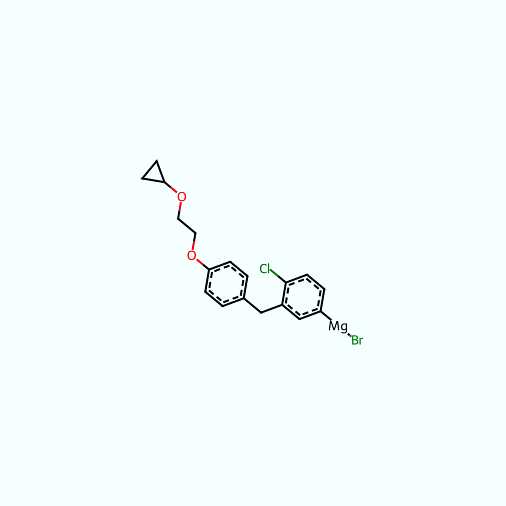 Clc1cc[c]([Mg][Br])cc1Cc1ccc(OCCOC2CC2)cc1